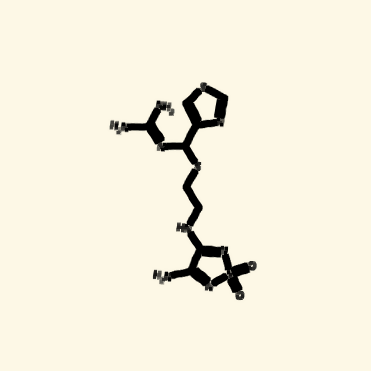 NC(N)=NC(SCCNC1=NS(=O)(=O)N=C1N)c1cscn1